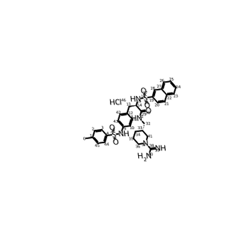 Cc1ccc(S(=O)(=O)Nc2ccc(C[C@@H](NS(=O)(=O)c3ccc4ccccc4c3)C(=O)NC[C@H]3CCCN(C(=N)N)C3)cc2)cc1.Cl